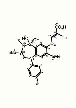 CCCC[C@H]1CN(c2ccc(F)cc2)c2cc(SC)c(O/C=C(\F)C(=O)O)cc2S(O)(O)N1C